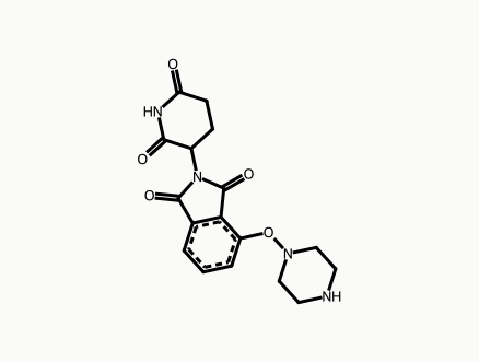 O=C1CCC(N2C(=O)c3cccc(ON4CCNCC4)c3C2=O)C(=O)N1